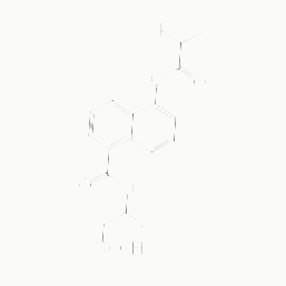 CC(I)C(=O)Oc1cccc2c(C(=O)OC(CS(=O)(=O)O)C(F)(F)F)cccc12